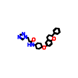 O=C(CCn1cncn1)NC1CCC(Oc2ccc3c(c2)CCC(c2ccccc2)O3)CC1